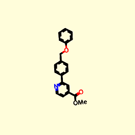 COC(=O)c1ccnc(-c2ccc(COc3ccccc3)cc2)c1